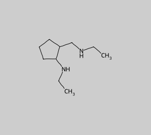 CCNCC1CCCC1NCC